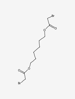 O=C(CBr)OCCCCCCOC(=O)CBr